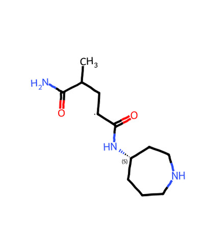 CC(C[CH]C(=O)N[C@H]1CCCNCC1)C(N)=O